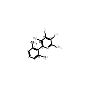 Cc1nc(-c2c(N)cccc2O)c(F)c(F)c1F